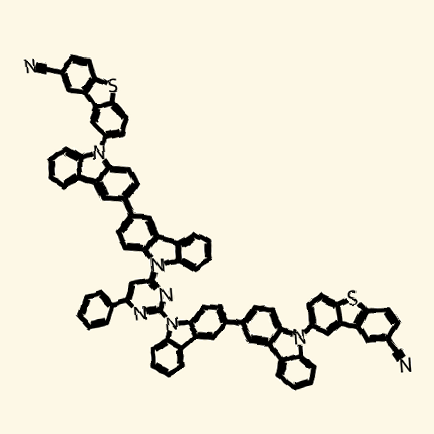 N#Cc1ccc2sc3ccc(-n4c5ccccc5c5cc(-c6ccc7c(c6)c6ccccc6n7-c6cc(-c7ccccc7)nc(-n7c8ccccc8c8cc(-c9ccc%10c(c9)c9ccccc9n%10-c9ccc%10sc%11ccc(C#N)cc%11c%10c9)ccc87)n6)ccc54)cc3c2c1